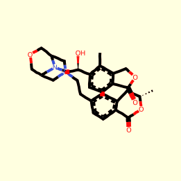 Cc1c([C@H](O)CN2C3COCC2CN(CCc2ccc4c(c2)C[C@H](C)OC4=O)C3)ccc2c1COC2=O